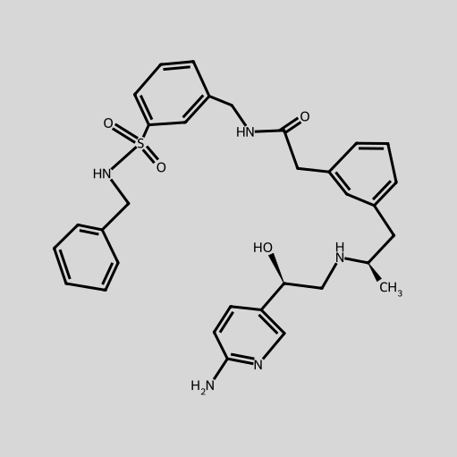 C[C@H](Cc1cccc(CC(=O)NCc2cccc(S(=O)(=O)NCc3ccccc3)c2)c1)NC[C@H](O)c1ccc(N)nc1